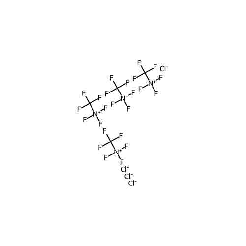 FC(F)(F)[N+](F)(F)F.FC(F)(F)[N+](F)(F)F.FC(F)(F)[N+](F)(F)F.FC(F)(F)[N+](F)(F)F.[Cl-].[Cl-].[Cl-].[Cl-]